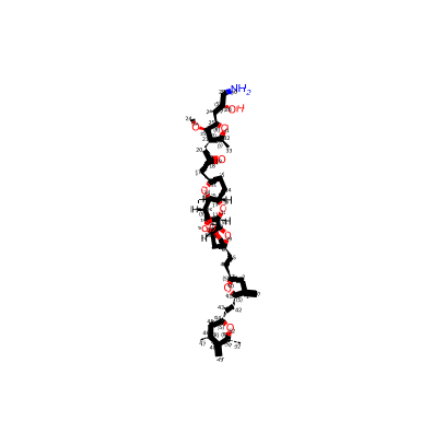 C=C1C[C@H](CC[C@@]23C[C@H]4OC5[C@@H](O[C@H]6CC[C@H](CC(=O)C[C@@H]7[C@@H](OC)[C@@H](C[C@H](O)CN)O[C@H]7C)O[C@@H]6[C@@H]5O2)[C@H]4O3)O[C@H]1CC[C@H]1C[C@@H](C)C(=C)[C@@H](C)O1